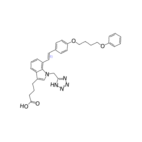 O=C(O)CCCc1cn(Cc2nnn[nH]2)c2c(/C=C/c3ccc(OCCCCOc4ccccc4)cc3)cccc12